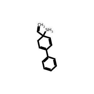 C=CC1([SiH3])C=CC(c2ccccc2)=CC1